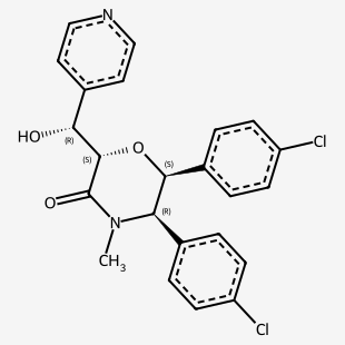 CN1C(=O)[C@H]([C@H](O)c2ccncc2)O[C@@H](c2ccc(Cl)cc2)[C@H]1c1ccc(Cl)cc1